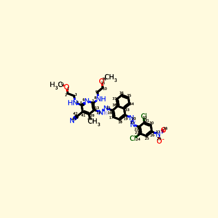 COCCNc1nc(NCCOC)c(/N=N/c2ccc(/N=N/c3c(Cl)cc([N+](=O)[O-])cc3Cl)c3ccccc23)c(C)c1C#N